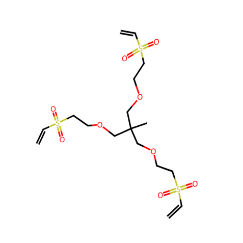 C=CS(=O)(=O)CCOCC(C)(COCCS(=O)(=O)C=C)COCCS(=O)(=O)C=C